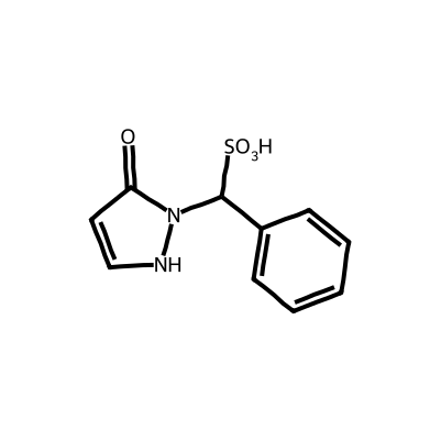 O=c1cc[nH]n1C(c1ccccc1)S(=O)(=O)O